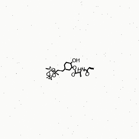 C=CC(=O)NC(C)C(=O)OC1CC(CC[Si]2(C)O[Si](C)(C)O[Si](C)(C)O2)CCC1O